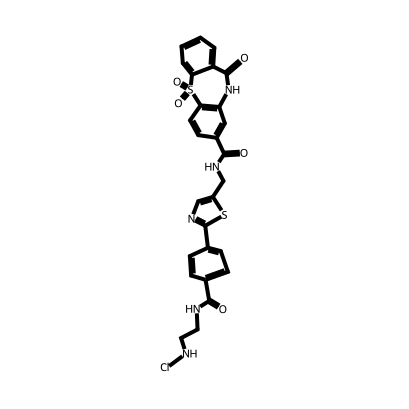 O=C(NCCNCl)c1ccc(-c2ncc(CNC(=O)c3ccc4c(c3)NC(=O)c3ccccc3S4(=O)=O)s2)cc1